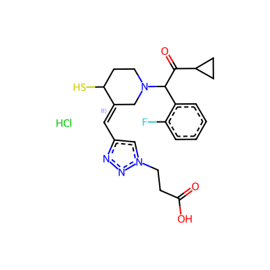 Cl.O=C(O)CCn1cc(/C=C2\CN(C(C(=O)C3CC3)c3ccccc3F)CCC2S)nn1